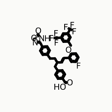 O=C(O)c1ccc(CC(C=Cc2cc(F)ccc2OCc2cc(C(F)(F)F)cc(C(F)(F)F)c2)CCc2ccc(-c3noc(=O)[nH]3)cc2)cc1